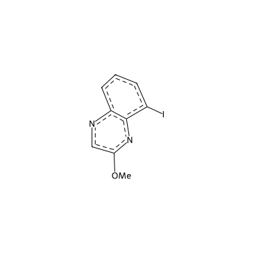 COc1cnc2cccc(I)c2n1